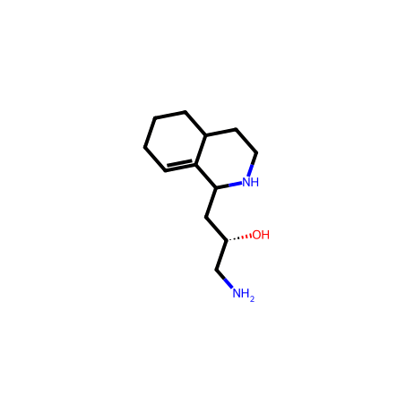 NC[C@@H](O)CC1NCCC2CCCC=C21